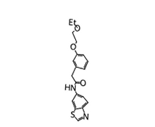 CCOCCOc1cccc(CC(=O)Nc2ccc3ncsc3c2)c1